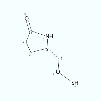 O=C1CC[C@@H](COS)N1